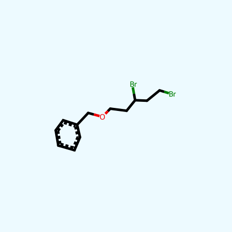 BrCCC(Br)CCOCc1ccccc1